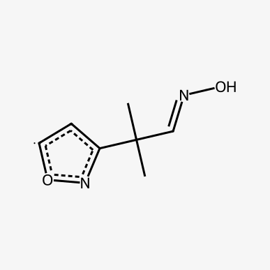 CC(C)(C=NO)c1c[c]on1